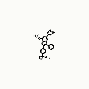 COc1cc(-c2cn[nH]c2)cn2c(-c3ccccc3)c(-c3ccc(C4(N)CCC4)cc3)nc12